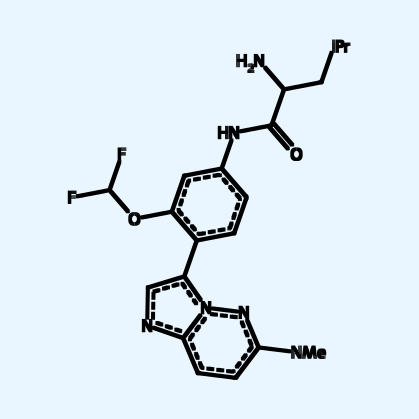 CNc1ccc2ncc(-c3ccc(NC(=O)C(N)CC(C)C)cc3OC(F)F)n2n1